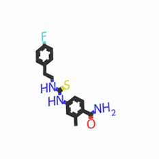 Cc1cc(NC(=S)NCCc2ccc(F)cc2)ccc1C(N)=O